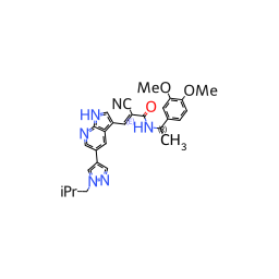 COc1ccc([C@@H](C)NC(=O)/C(C#N)=C/c2c[nH]c3ncc(-c4cnn(CC(C)C)c4)cc23)cc1OC